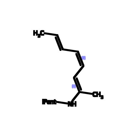 CC=C/C=C\C=C(/C)NC(C)CCC